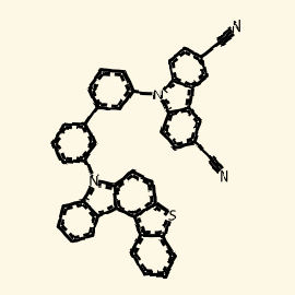 N#Cc1ccc2c(c1)c1cc(C#N)ccc1n2-c1cccc(-c2cccc(-n3c4ccccc4c4c5c(ccc43)sc3ccccc35)c2)c1